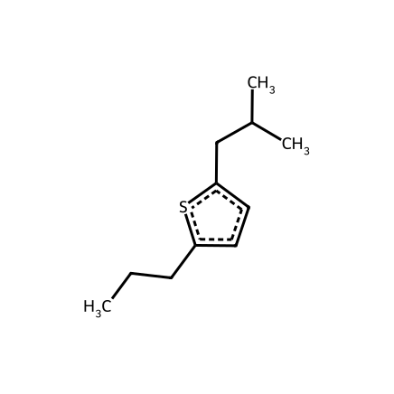 CCCc1ccc(CC(C)C)s1